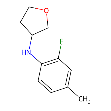 Cc1ccc(NC2CCOC2)c(F)c1